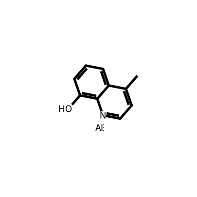 Cc1ccnc2c(O)cccc12.[Al]